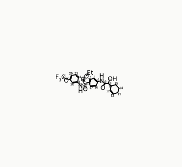 CCOc1cc(NC(=O)C(O)C2C=CCCC2)ccc1S(=O)(=O)Nc1cccc(OC(F)(F)F)c1